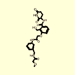 COCC(=O)NCc1cccc(NC(=O)COc2cccc(C(=O)NC3CCC(=O)NC3=O)c2CO)c1